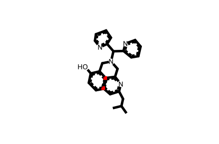 CC(C)Cc1cccc(CN(Cc2ccccc2O)C(c2ccccn2)c2ccccn2)n1